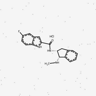 CN[C@H]1c2ccccc2C[C@H]1NC(=O)c1cc2cc(F)ccc2[nH]1.Cl